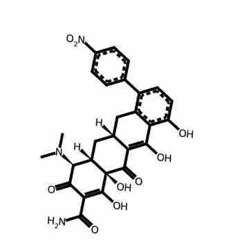 CN(C)[C@@H]1C(=O)C(C(N)=O)=C(O)[C@@]2(O)C(=O)C3=C(O)c4c(O)ccc(-c5ccc([N+](=O)[O-])cc5)c4C[C@H]3C[C@@H]12